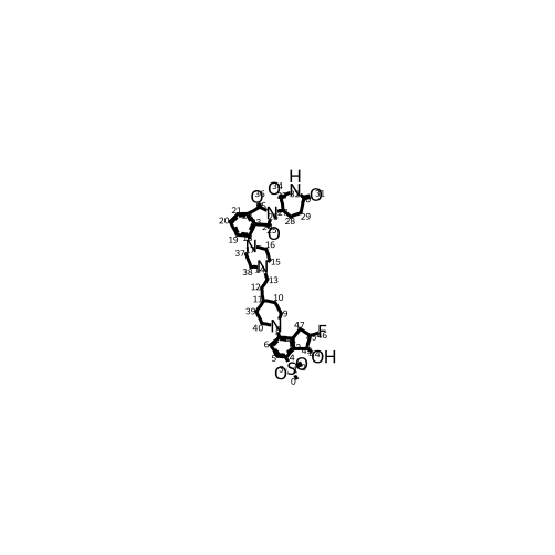 CS(=O)(=O)c1ccc(N2CCC(CCN3CCN(c4cccc5c4C(=O)N(C4CCC(=O)NC4=O)C5=O)CC3)CC2)c2c1C(O)C(F)C2